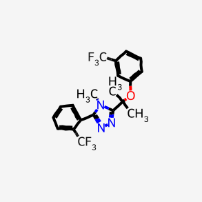 Cn1c(-c2ccccc2C(F)(F)F)nnc1C(C)(C)Oc1cccc(C(F)(F)F)c1